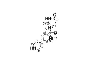 Cl.O=C1CCC(N2Cc3cc(C4=CCNCC4)ccc3C2=O)C(=O)N1